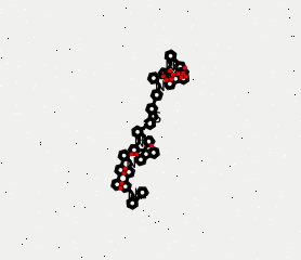 c1ccc(-c2ccc(-c3ccccc3N(c3ccc(-c4ccc5c(c4)sc4ccc(-c6cccc7c6c6cccc8c6n7-c6ccccc6C86c7ccccc7-c7ccc(N(c8ccc(-c9cccc(-n%10c%11ccccc%11c%11ccccc%11%10)c9)cc8)c8ccccc8-c8ccc(-c9ccccc9)cc8)cc76)cc45)cc3)c3ccc4c(c3)C3(c5ccccc5-4)c4ccccc4-n4c5ccccc5c5cccc3c54)cc2)cc1